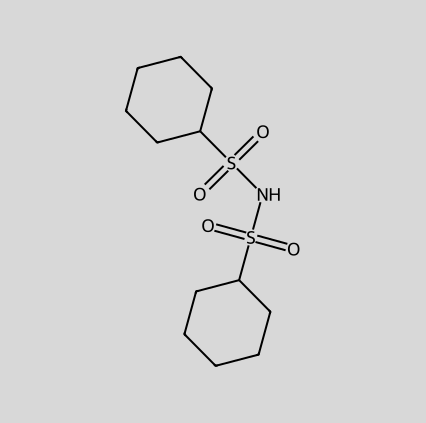 O=S(=O)(NS(=O)(=O)C1CCCCC1)C1CCCCC1